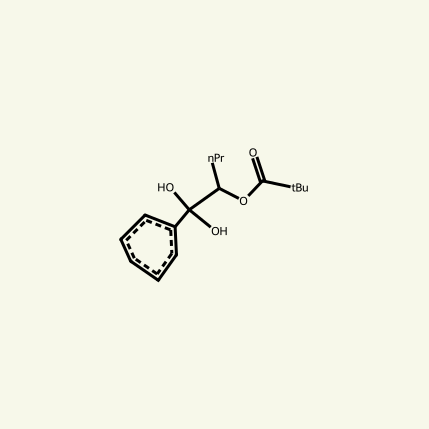 CCCC(OC(=O)C(C)(C)C)C(O)(O)c1ccccc1